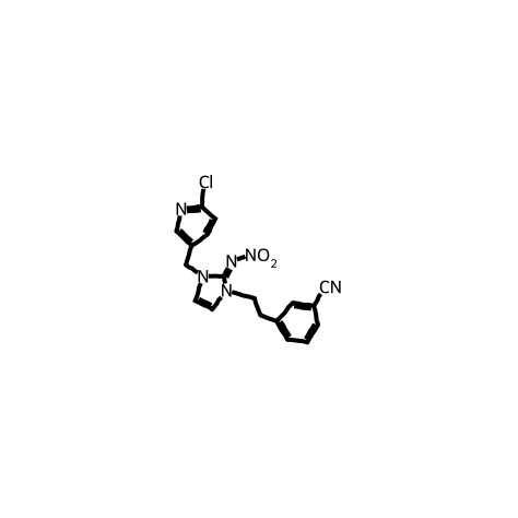 N#Cc1cccc(CCn2ccn(Cc3ccc(Cl)nc3)c2=N[N+](=O)[O-])c1